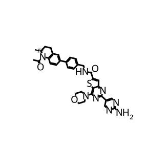 CC(=O)N1c2ccc(-c3ccc(CNC(=O)c4cc5nc(-c6cnc(N)nc6)nc(N6CCOCC6)c5s4)cc3)cc2CC[C@@H]1C